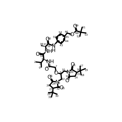 CC(C)[C@H](NC(=O)COC(CN1C(=O)CC(C(C)(C)C)C1=O)CN1C(=O)CC(C(C)(C)C)C1=O)C(=O)N[C@@H](C)C(=O)Nc1ccc(COC(=O)C(C)(C)C)cc1